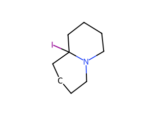 IC12CCCCN1CCCC2